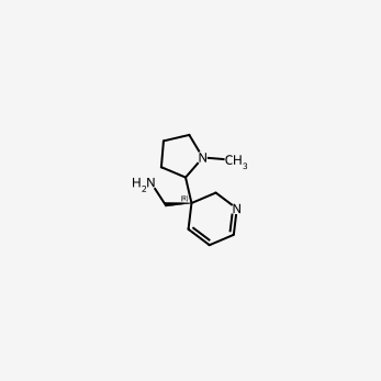 CN1CCCC1[C@@]1(CN)C=CC=NC1